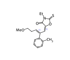 CCN1C(=O)/C(=C\C(=C\CCOC)c2ccccc2C)OC1=S